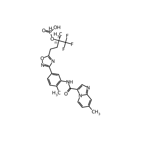 Cc1ccn2c(C(=O)Nc3cc(-c4noc(CC[C@](C)(O[PH](=O)O)C(F)(F)F)n4)ccc3C)cnc2c1